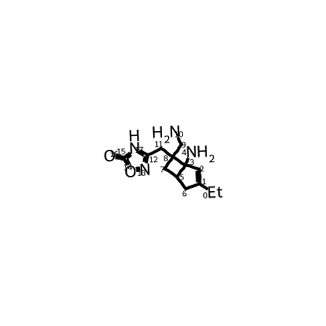 CCC1=CC2(N)C(C1)CC2(CN)Cc1noc(=O)[nH]1